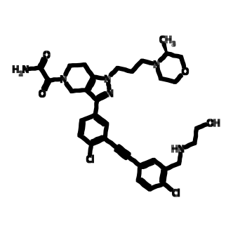 C[C@H]1COCCN1CCCn1nc(-c2ccc(Cl)c(C#Cc3ccc(Cl)c(CNCCO)c3)c2)c2c1CCN(C(=O)C(N)=O)C2